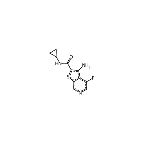 Nc1c(C(=O)NC2CC2)sc2cncc(F)c12